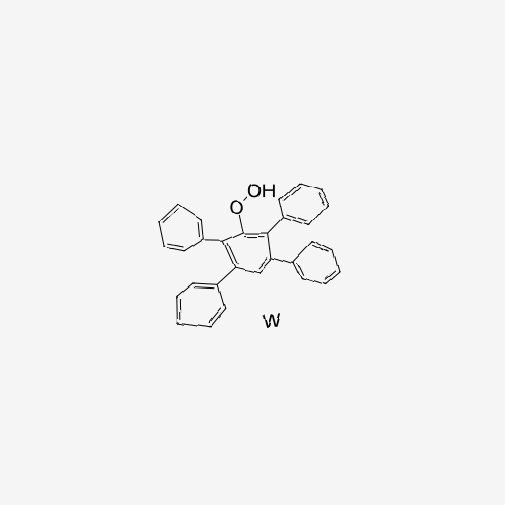 OOc1c(-c2ccccc2)c(-c2ccccc2)cc(-c2ccccc2)c1-c1ccccc1.[W]